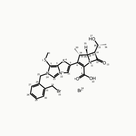 CSc1c2sc(C3=C(C(=O)O)N4C(=O)[C@H]([C@@H](C)O)[C@H]4[C@H]3C)c[n+]2cn1Cc1ccccc1CBr.[Br-]